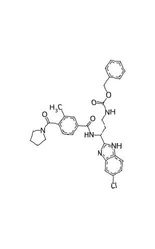 Cc1cc(C(=O)NC(CCNC(=O)OCc2ccccc2)c2nc3cc(Cl)ccc3[nH]2)ccc1C(=O)N1CCCC1